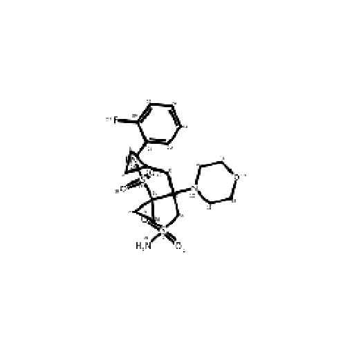 NS(=O)(=O)CC(CC1CC1)(N1CCOCC1)C1(S(=O)(=O)Nc2ccccc2F)CC1